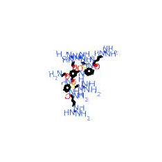 N=C(N)NCCC[C@@H](N)C(=O)Nc1cccc(NC(=O)c2cc(C(=O)Nc3cccc(NC(=O)[C@H](N)CCCNC(=N)N)c3SCCNC(=N)N)c(OCCNC(=N)N)cc2OCCN)c1SCCNC(=N)N